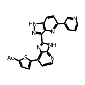 CC(=O)c1ccc(-c2ccnc3[nH]c(-c4n[nH]c5ccc(-c6cccnc6)nc45)nc23)s1